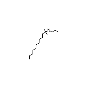 CCCCCCCCCCC(C)(C)[N]CCC